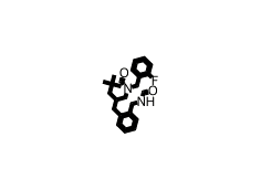 CC(C)(C)CC(Cc1ccccc1CNC=O)CN(C=O)Cc1ccccc1F